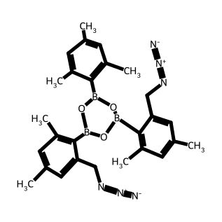 Cc1cc(C)c(B2OB(c3c(C)cc(C)cc3CN=[N+]=[N-])OB(c3c(C)cc(C)cc3CN=[N+]=[N-])O2)c(C)c1